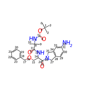 CC(C)(C)OC(=O)NC(C)(C)C(=O)NC(COCc1ccccc1)C(=O)N1Cc2ccc(N)cc2C1